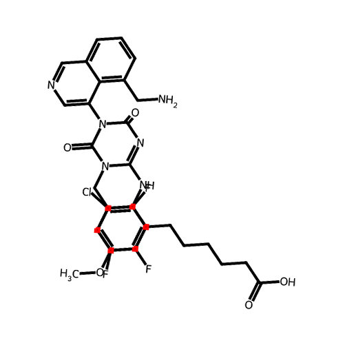 COc1cc(Cl)c(Nc2nc(=O)n(-c3cncc4cccc(CN)c34)c(=O)n2Cc2cc(F)c(F)cc2F)c(CCCCCC(=O)O)c1